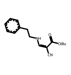 CC(C)COC(=O)C(C#N)=CNCCc1ccccc1